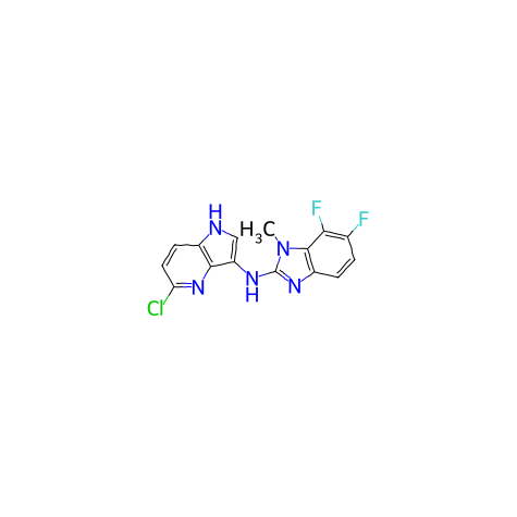 Cn1c(Nc2c[nH]c3ccc(Cl)nc23)nc2ccc(F)c(F)c21